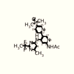 CC(=O)Nc1cc(Nc2cc(C)nc(C(C)(F)F)n2)c(-c2ccc(P(C)(C)=O)cn2)cn1